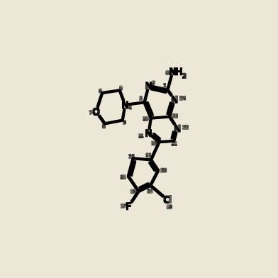 Nc1nc(N2CCOCC2)c2nc(-c3ccc(F)c(Cl)c3)cnc2n1